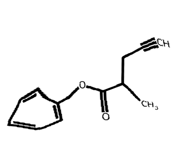 C#CCC(C)C(=O)Oc1ccccc1